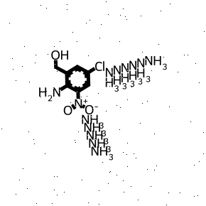 N.N.N.N.N.N.N.N.N.N.N.Nc1c(CO)cc(Cl)cc1[N+](=O)[O-]